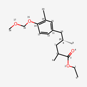 CCOC(=O)C(C)C[C@@H](C)Cc1ccc(OCOC)c(C)c1